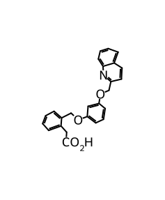 O=C(O)Cc1ccccc1COc1cccc(OCc2ccc3ccccc3n2)c1